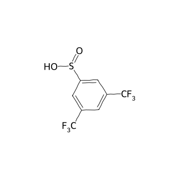 O=S(O)c1cc(C(F)(F)F)cc(C(F)(F)F)c1